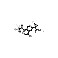 [2H]C([2H])([2H])Nc1ncc(Br)c2cc(C3(C(N)=O)CC3F)ncc12